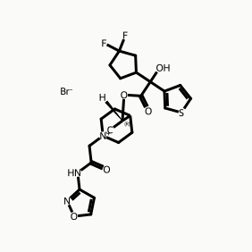 O=C(C[N+]12CCC(CC1)[C@@H](OC(=O)C(O)(c1ccsc1)C1CCC(F)(F)C1)C2)Nc1ccon1.[Br-]